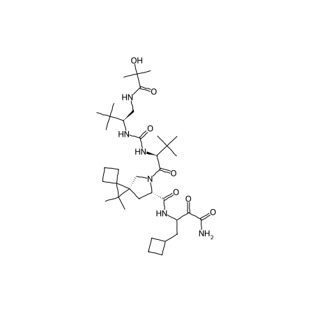 CC(C)(O)C(=O)NC[C@@H](NC(=O)N[C@H](C(=O)N1C[C@]2(C[C@H]1C(=O)NC(CC1CCC1)C(=O)C(N)=O)C(C)(C)C21CCC1)C(C)(C)C)C(C)(C)C